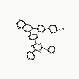 N#Cc1ccc(-c2ccc(-c3cc4ccccc4cc3-c3ccc(-c4nc(-c5ccccc5)nc(-c5ccccc5)n4)cc3)cc2)cc1